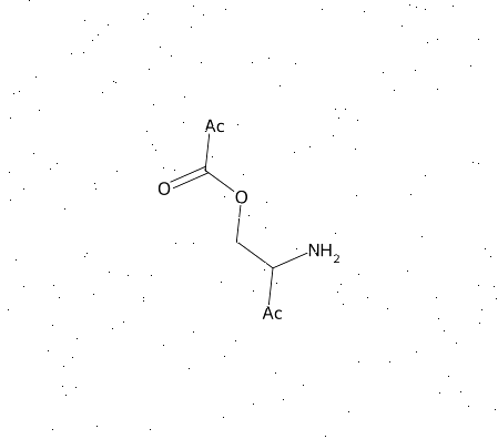 CC(=O)C(=O)OCC(N)C(C)=O